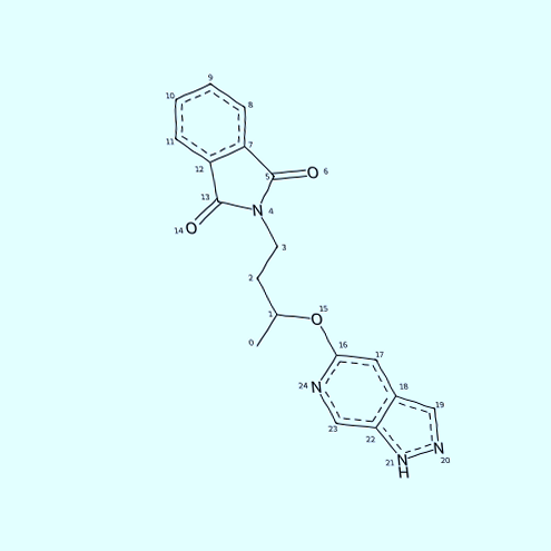 CC(CCN1C(=O)c2ccccc2C1=O)Oc1cc2cn[nH]c2cn1